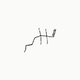 C=CC(F)(F)C(F)(F)CCCF